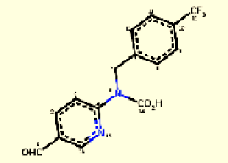 O=Cc1ccc(N(Cc2ccc(C(F)(F)F)cc2)C(=O)O)nc1